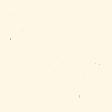 COC(=O)c1cc(F)c(-c2cccc3c2OCN(C(=O)c2c(Cl)cc(N4CCN(C)C[C@H]4C)cc2Cl)C3)cc1N[C@@H]1CCOC1